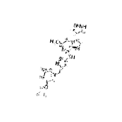 CCOCCN(Cc1cc(Nc2nc(C)cn3c(-c4cn[nH]c4)cnc23)sn1)CC(F)F